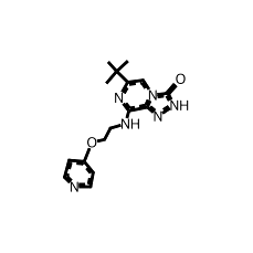 CC(C)(C)c1cn2c(=O)[nH]nc2c(NCCOc2ccncc2)n1